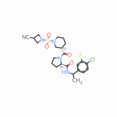 CC(NC(=O)[C@H]1CCCN1C(=O)[C@H]1CCCN(S(=O)(=O)N2CC(C#N)C2)C1)c1ccc(Cl)c(F)c1